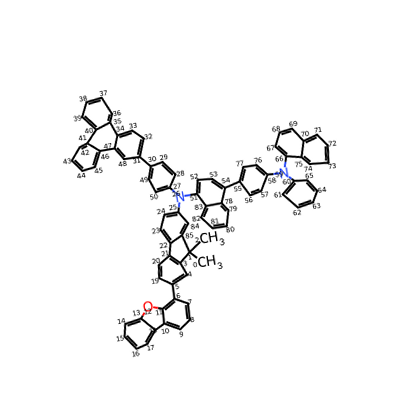 CC1(C)c2cc(-c3cccc4c3oc3ccccc34)ccc2-c2ccc(N(c3ccc(-c4ccc5c6ccccc6c6ccccc6c5c4)cc3)c3ccc(-c4ccc(N(c5ccccc5)c5cccc6ccccc56)cc4)c4ccccc34)cc21